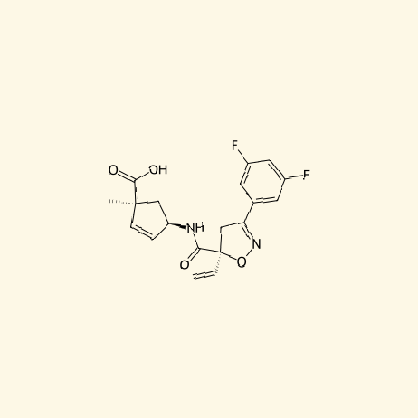 C=C[C@]1(C(=O)N[C@H]2C=C[C@@](C)(C(=O)O)C2)CC(c2cc(F)cc(F)c2)=NO1